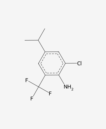 CC(C)c1cc(Cl)c(N)c(C(F)(F)F)c1